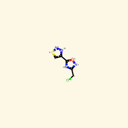 ClCc1noc(-c2csnn2)n1